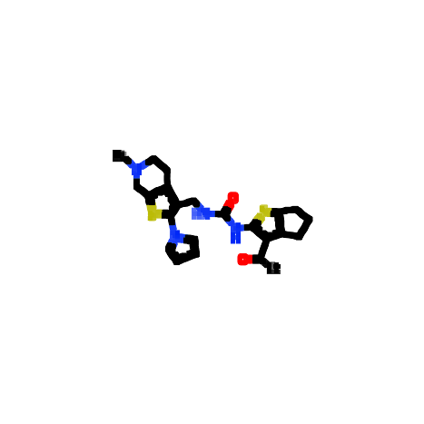 CCC(=O)c1c(NC(=O)NCc2c(-n3cccc3)sc3c2CCN(CC)C3)sc2c1CCC2